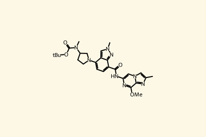 COc1nc(NC(=O)c2ccc(N3CCC(N(C)C(=O)OC(C)(C)C)C3)c3cn(C)nc23)cn2cc(C)nc12